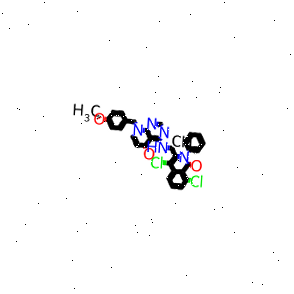 COc1ccc(Cn2ccc(=O)c3c(NC(C)c4c(Cl)c5cccc(Cl)c5c(=O)n4-c4ccccc4)ncnc32)cc1